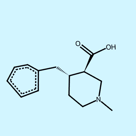 CN1CC[C@H](Cc2ccccc2)[C@@H](C(=O)O)C1